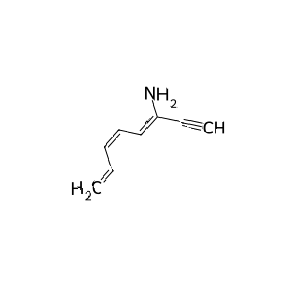 C#C/C(N)=C/C=C\C=C